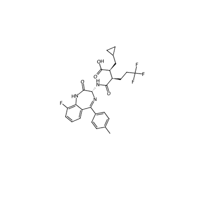 Cc1ccc(C2=N[C@@H](NC(=O)[C@H](CCC(F)(F)F)[C@H](CC3CC3)C(=O)O)C(=O)Nc3c(F)cccc32)cc1